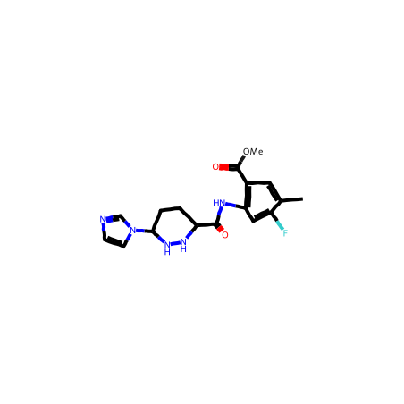 COC(=O)c1cc(C)c(F)cc1NC(=O)C1CCC(n2ccnc2)NN1